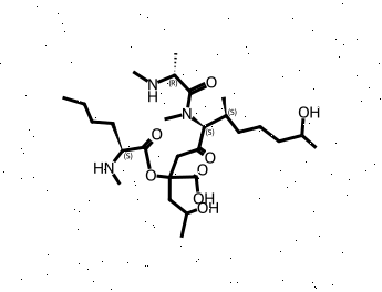 CCCC[C@H](NC)C(=O)OC(CC(=O)[C@H]([C@@H](C)CCCC(C)O)N(C)C(=O)[C@@H](C)NC)(CC(C)O)C(=O)O